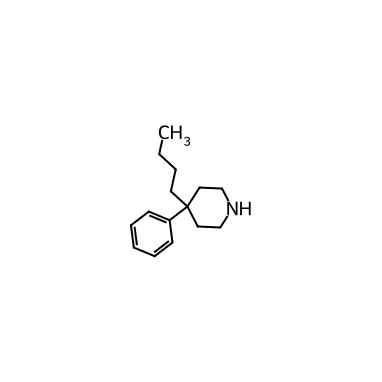 CCCCC1(c2ccccc2)CCNCC1